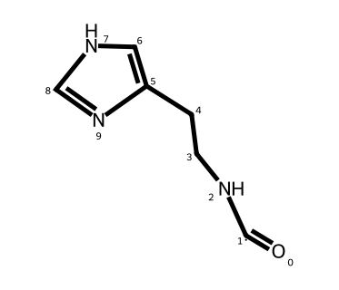 O=[C]NCCc1c[nH]cn1